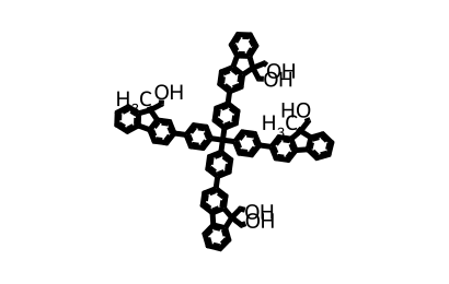 CC1(CO)c2ccccc2-c2ccc(-c3ccc(C(c4ccc(-c5ccc6c(c5)C(C)(CO)c5ccccc5-6)cc4)(c4ccc(-c5ccc6c(c5)C(CO)(CO)c5ccccc5-6)cc4)c4ccc(-c5ccc6c(c5)C(CO)(CO)c5ccccc5-6)cc4)cc3)cc21